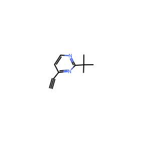 C#Cc1ccnc(C(C)(C)C)n1